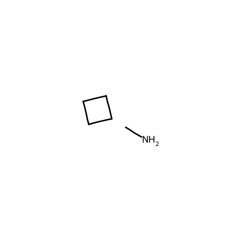 C1CCC1.CN